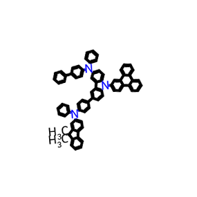 CC1(C)c2ccccc2-c2ccc(N(c3ccccc3)c3ccc(-c4ccc5c(c4)c4cc(N(c6ccccc6)c6ccc(-c7ccccc7)cc6)ccc4n5-c4ccc5c6ccccc6c6ccccc6c5c4)cc3)cc21